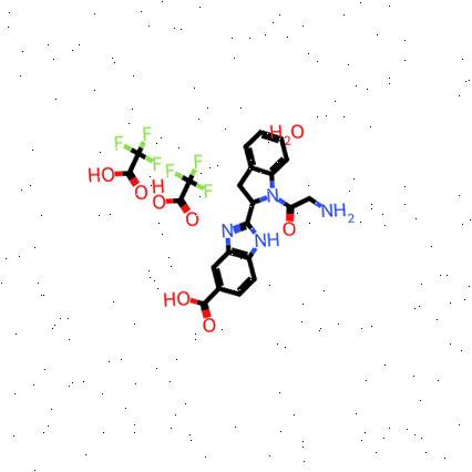 NCC(=O)N1c2ccccc2CC1c1nc2cc(C(=O)O)ccc2[nH]1.O.O=C(O)C(F)(F)F.O=C(O)C(F)(F)F